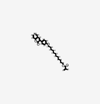 C=C(C)C(=O)OCCCCCCCCCCCCOc1ccc(-c2cc3cnccc3oc2=O)cc1